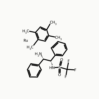 Cc1cc(C)c(C)cc1C.N[C@@H](c1ccccc1)[C@@H](NS(=O)(=O)C(F)(F)F)c1ccccc1.[Ru]